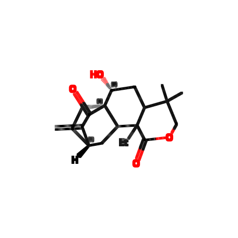 C=C1C(=O)[C@]23CC[C@H]1CC2C1(CC)C(=O)OCC(C)(C)C1C[C@H]3O